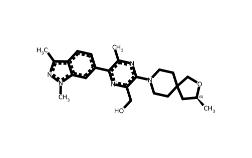 Cc1nc(N2CCC3(CC2)CO[C@@H](C)C3)c(CO)nc1-c1ccc2c(C)nn(C)c2c1